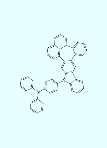 c1ccc(N(c2ccccc2)c2ccc(-n3c4ccccc4c4cc5c(cc43)-c3cccc4cccc(c34)-c3ccccc3-5)cc2)cc1